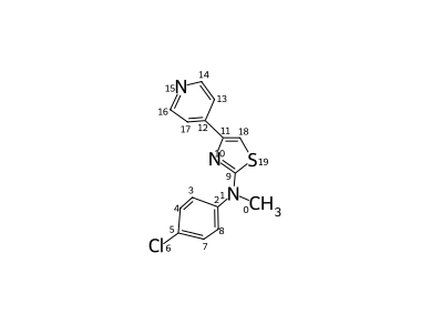 CN(c1ccc(Cl)cc1)c1nc(-c2ccncc2)cs1